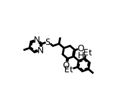 CCc1cc(C)cc(CC)c1C1=C(O)CC(C(C)CSc2ncc(C)cn2)CC1=O